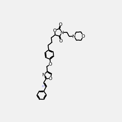 O=C1OC(CCCc2ccc(OCc3coc(/C=C/c4ccccc4)n3)cc2)C(=O)N1CCN1CCOCC1